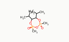 CC(C)C1OP(C)(=O)OP(C)(=O)OC1C(C)C